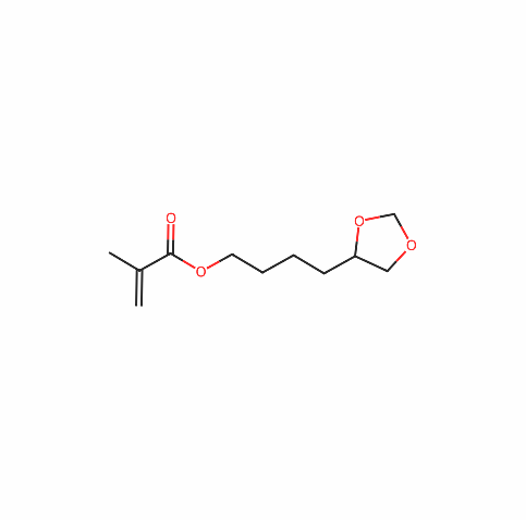 C=C(C)C(=O)OCCCCC1COCO1